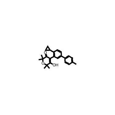 Cc1ccc(-c2ccc(C3CC3)c(C3=C(O)C(C)(C)OC(C)(C)C3=O)c2)cc1